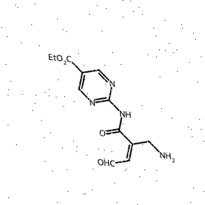 CCOC(=O)c1cnc(NC(=O)/C(=C\C=O)CN)nc1